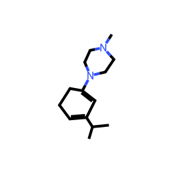 CC(C)C1=CCCC(N2CCN(C)CC2)=C1